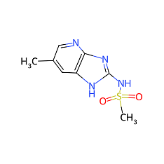 Cc1cnc2nc(NS(C)(=O)=O)[nH]c2c1